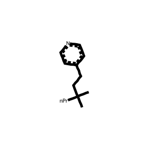 CCCC(C)(C)CCc1ccncc1